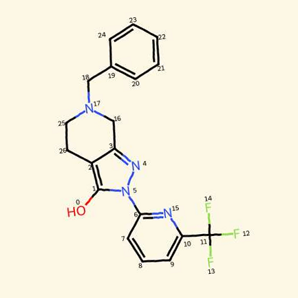 Oc1c2c(nn1-c1cccc(C(F)(F)F)n1)CN(Cc1ccccc1)CC2